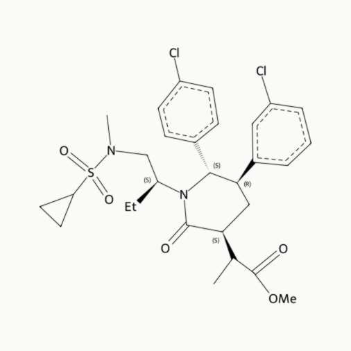 CC[C@@H](CN(C)S(=O)(=O)C1CC1)N1C(=O)[C@H](C(C)C(=O)OC)C[C@H](c2cccc(Cl)c2)[C@H]1c1ccc(Cl)cc1